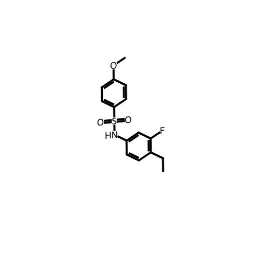 CCc1ccc(NS(=O)(=O)c2ccc(OC)cc2)cc1F